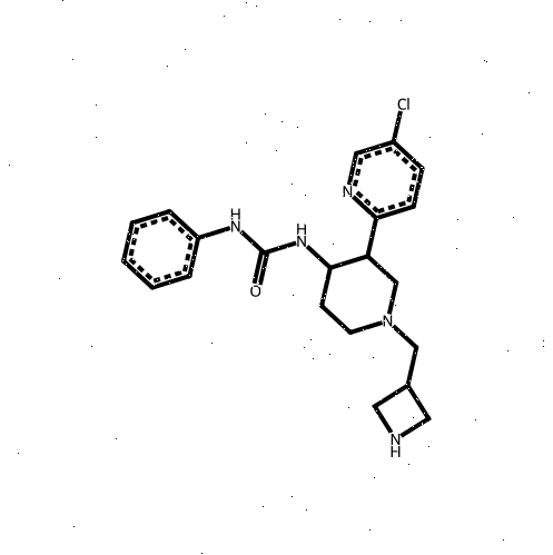 O=C(Nc1ccccc1)NC1CCN(CC2CNC2)CC1c1ccc(Cl)cn1